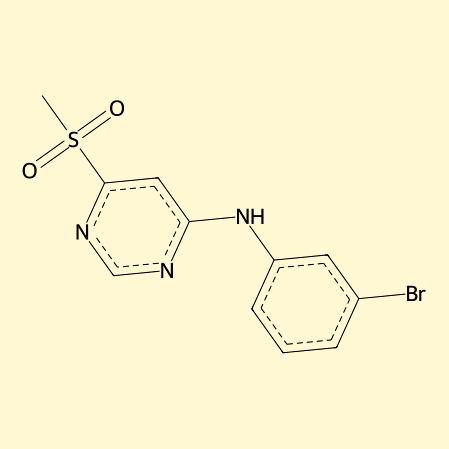 CS(=O)(=O)c1cc(Nc2cccc(Br)c2)ncn1